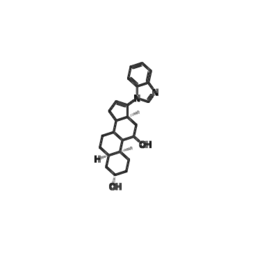 C[C@]12CC(O)C3C(CC[C@@H]4C[C@@H](O)CC[C@]34C)C1CC=C2n1cnc2ccccc21